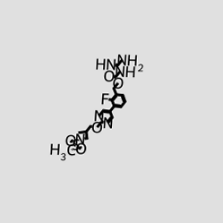 CS(=O)(=O)N1CC(COc2ncc(-c3cccc(COC(=O)NC(=N)N)c3F)cn2)C1